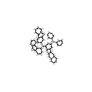 c1ccc(N(c2ccccc2)c2cc(N(c3ccc4c(c3)sc3ccccc34)c3cccc4oc5ccccc5c34)c3oc4cc5ccccc5cc4c3c2)cc1